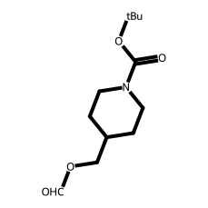 CC(C)(C)OC(=O)N1CCC(COC=O)CC1